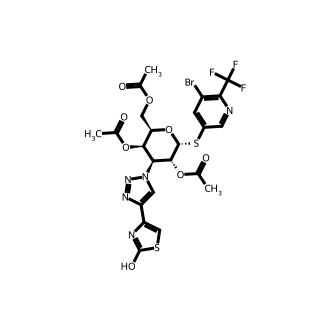 CC(=O)OC[C@H]1O[C@H](Sc2cnc(C(F)(F)F)c(Br)c2)[C@H](OC(C)=O)[C@@H](n2cc(-c3csc(O)n3)nn2)[C@H]1OC(C)=O